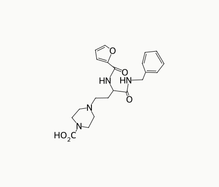 O=C(NC(CCN1CCN(C(=O)O)CC1)C(=O)NCc1ccccc1)c1ccco1